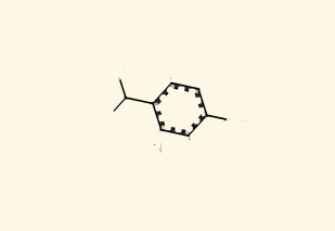 CC(C(=O)O)c1ccc(O)cc1.[NaH]